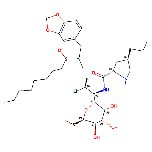 CCCCCCCC[S+]([O-])C(C)Cc1ccc2c(c1)OCO2.CCC[C@@H]1C[C@@H](C(=O)N[C@@H]([C@H]2O[C@H](SC)[C@H](O)[C@@H](O)[C@H]2O)[C@H](C)Cl)N(C)C1